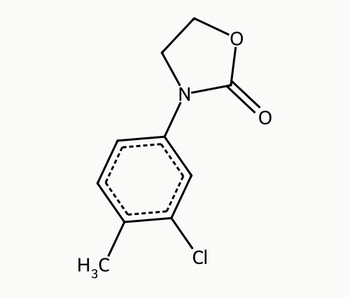 Cc1ccc(N2CCOC2=O)cc1Cl